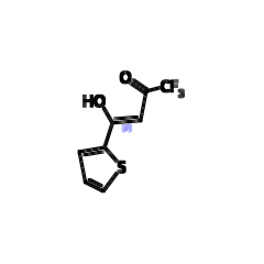 O=C(/C=C(\O)c1cccs1)C(F)(F)F